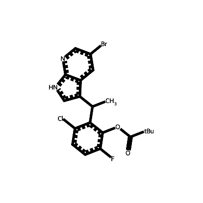 CC(c1c(Cl)ccc(F)c1OC(=O)C(C)(C)C)c1c[nH]c2ncc(Br)cc12